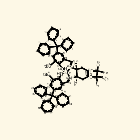 CC(C)(C)c1cc(C(c2ccccc2)(c2ccccc2)c2ccccc2)cc(C=[N+]2[Co][N+](=Cc3cc(C(c4ccccc4)(c4ccccc4)c4ccccc4)cc(C(C)(C)C)c3O)[C@@H]3CCCC[C@H]32)c1O.[O-]C(F)(F)C(F)(C(F)(F)F)C(F)(F)F